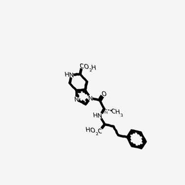 C[C@H](NC(CCc1ccccc1)C(=O)O)C(=O)n1cnc2c1CC(C(=O)O)NC2